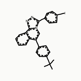 CC(C)(C)c1ccc(-c2cn3c(-c4ccc(I)cc4)nnc3c3ccccc23)cc1